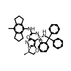 Cc1c2c(c(NC(=O)N=[S@@](=O)(NC(c3ccccc3)(c3ccccc3)c3ccccc3)c3cnn4c3OC[C@H]4C)c3c1CCC3)CCC2